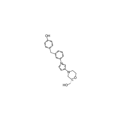 OC[C@@H]1CN(c2ccn(-c3cccc(Cc4ccc(O)cc4)c3)c2)CCO1